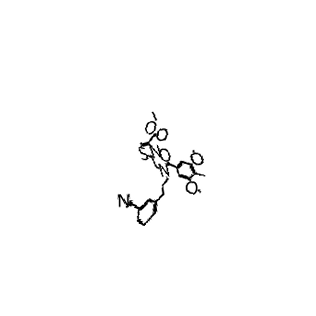 CCOC(=O)c1csc(CN(CCCc2cccc(C#N)c2)C(=O)c2cc(OC)c(C)c(OC)c2)n1